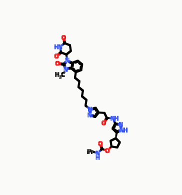 CC(C)NC(=O)O[C@@H]1CC[C@H](c2cc(NC(=O)Cc3cnn(CCCCCCCc4cccc5c4n(C)c(=O)n5C4CCC(=O)NC4=O)c3)n[nH]2)C1